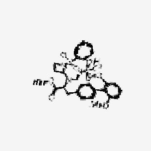 COc1cccc(OC)c1-c1ccc(C[C@@H](C(=O)OC(C)(C)C)N(C=NS(C)(=O)=O)C2CCN2S(=O)(=O)c2ccccc2)cc1